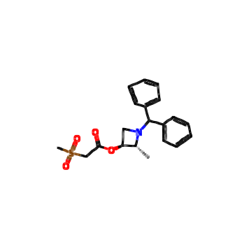 C[C@@H]1[C@@H](OC(=O)CS(C)(=O)=O)CN1C(c1ccccc1)c1ccccc1